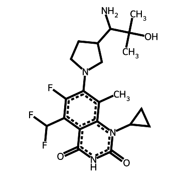 Cc1c(N2CCC(C(N)C(C)(C)O)C2)c(F)c(C(F)F)c2c(=O)[nH]c(=O)n(C3CC3)c12